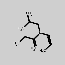 C=C(CC)N(/C=C\C)CC(C)C